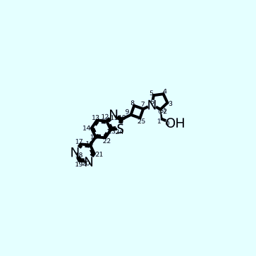 OC[C@@H]1CCCN1C1CC(c2nc3ccc(-c4cncnc4)cc3s2)C1